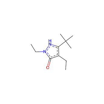 CCc1c(C(C)(C)C)[nH]n(CC)c1=O